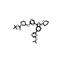 CC(C)Oc1cncc(-c2ccc3c(c2)c(-c2cncc(OC4CCCN(C(=O)OC(C)(C)C)C4)n2)nn3C2CCCCO2)n1